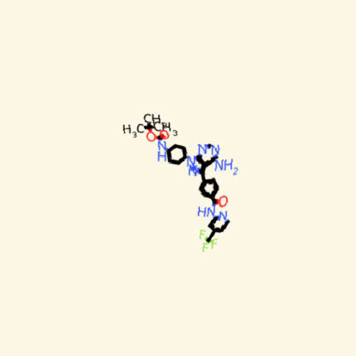 CC(C)(C)OC(=O)N[C@H]1CC[C@H](n2nc(-c3ccc(C(=O)Nc4cc(C(F)(F)F)ccn4)cc3)c3c(N)ncnc32)CC1